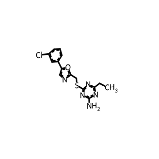 CCc1nc(N)nc(SCc2ncc(-c3cccc(Cl)c3)o2)n1